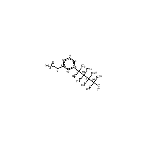 [CH2]Cc1cccc(C(F)(F)C(F)(F)C(F)(F)C(F)(F)F)c1